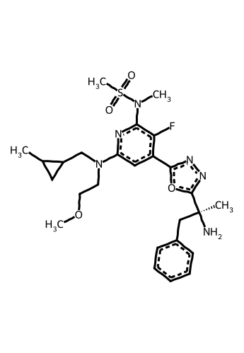 COCCN(CC1CC1C)c1cc(-c2nnc([C@@](C)(N)Cc3ccccc3)o2)c(F)c(N(C)S(C)(=O)=O)n1